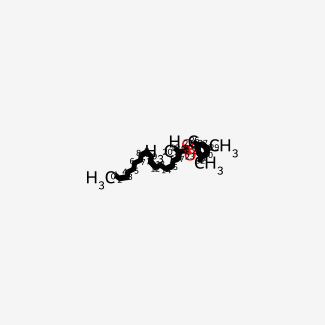 CC/C=C\CCCC/C=C\C/C=C\C/C=C\CC=C(CC)C(=O)Oc1c(C)cc(C)cc1C